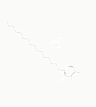 Br.CCCCCCCCCCCCCCCC[n+]1ccc(C)c(C)c1C.N.[Br-]